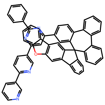 c1ccc(-c2nc(-c3ccc(-c4cccnc4)nc3)cc(-c3ccc4c(c3)C3(c5ccccc5-c5ccccc5-4)c4ccccc4-c4cc5oc6ccccc6c5cc43)n2)cc1